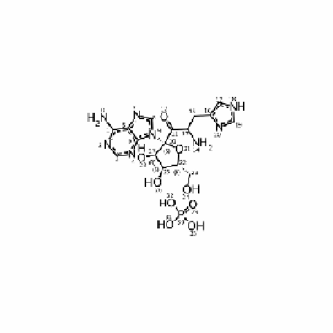 Nc1ncnc2c1ncn2[C@]1(C(=O)C(N)Cc2c[nH]cn2)O[C@H](CO)[C@@H](O)[C@H]1O.O=P(O)(O)O